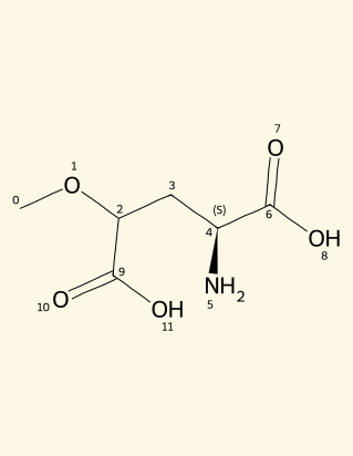 COC(C[C@H](N)C(=O)O)C(=O)O